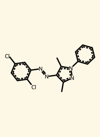 Cc1nn(-c2ccccc2)c(C)c1N=Nc1cc(Cl)ccc1Cl